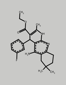 CCOC(=O)C1=C(C)Nc2nc3c(c(N)c2C1c1cccc(F)c1)CC(C)(C)CC3